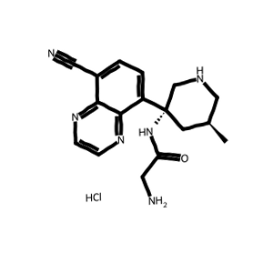 C[C@@H]1CNC[C@](NC(=O)CN)(c2ccc(C#N)c3nccnc23)C1.Cl